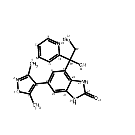 Cc1noc(C)c1-c1cc(C(O)(CC(C)(C)C)c2ccccn2)c2[nH]c(=O)[nH]c2c1